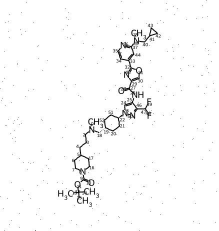 CN(CCCC1CCN(C(=O)OC(C)(C)C)CC1)C[C@H]1CC[C@H](n2cc(NC(=O)c3coc(-c4ccnc(N(C)CC5CC5)c4)n3)c(C(F)F)n2)CC1